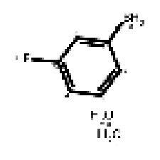 Bc1cccc(F)c1.O.O